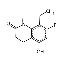 CCc1c(F)cc(O)c2c1NC(=O)CC2